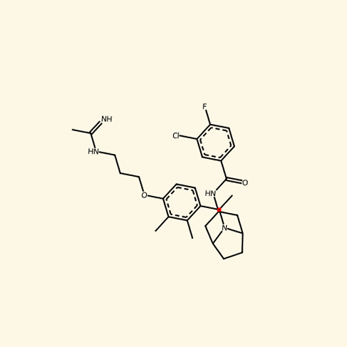 CC(=N)NCCCOc1ccc(C(C)N2C3CCC2CC(NC(=O)c2ccc(F)c(Cl)c2)C3)c(C)c1C